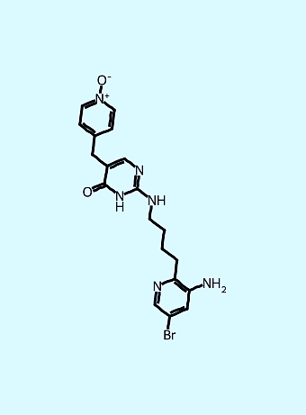 Nc1cc(Br)cnc1CCCCNc1ncc(Cc2cc[n+]([O-])cc2)c(=O)[nH]1